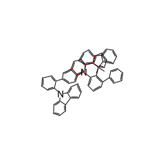 CC1(C)c2ccccc2-c2cccc(N(c3ccc(-c4ccccc4-n4c5ccccc5c5ccccc54)cc3)c3cccc(-c4ccccc4)c3-c3ccccc3-c3ccccc3)c21